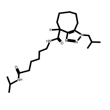 CC(C)Cn1nnc2c1CCCCCC2(F)C(=O)NCCCCCC(=O)NC(C)C